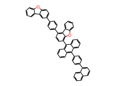 c1ccc2c(-c3ccc(-c4c5ccccc5c(-c5ccc(-c6ccc(-c7ccc8oc9ccccc9c8c7)cc6)c6c5oc5ccccc56)c5ccccc45)cc3)cccc2c1